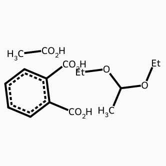 CC(=O)O.CCOC(C)OCC.O=C(O)c1ccccc1C(=O)O